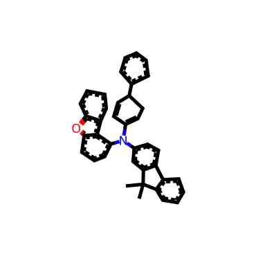 CC1(C)c2ccccc2-c2ccc(N(C3=CCC(c4ccccc4)C=C3)c3cccc4oc5ccccc5c34)cc21